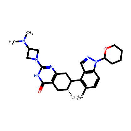 Cc1ccc2c(cnn2C2CCCCO2)c1C1Cc2nc(N3CC(N(C)C)C3)[nH]c(=O)c2C[C@H]1C